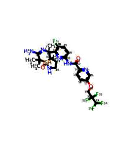 CC1(C)C(N)=N[C@](C)(c2nc(NC(=O)c3ccc(OCC(F)(F)C(F)F)cn3)ccc2F)[C@@H]2CCN[SH]21=O